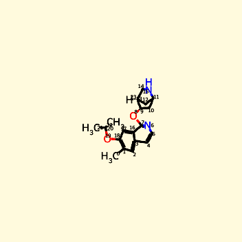 Cc1cc2ccnc(O[C@@H]3CC4C[C@@H]3CN4)c2cc1OC(C)C